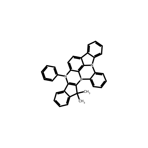 CC1(C)C2=C(c3ccccc31)N(C1=CC=C=C=C1)c1ccc3c4ccccc4n4c3c1B2c1ccccc1-4